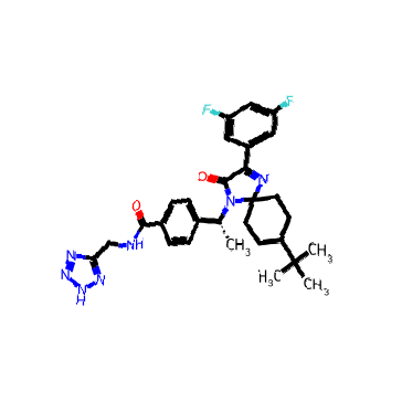 C[C@H](c1ccc(C(=O)NCc2nn[nH]n2)cc1)N1C(=O)C(c2cc(F)cc(F)c2)=NC12CCC(C(C)(C)C)CC2